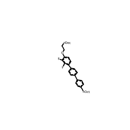 CCCCCCCCCCCCOc1ccc(-c2ccc(-c3ccc(CCCCCCCC)cc3)cc2)c(F)c1F